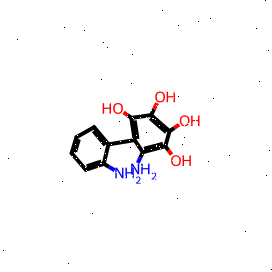 Nc1ccccc1-c1c(N)c(O)c(O)c(O)c1O